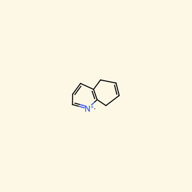 C1=CC2=C(CC=CC2)[N+]=C1